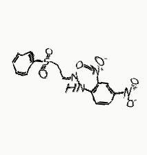 O=[N+]([O-])c1ccc(NN=CCS(=O)(=O)c2ccccc2)c([N+](=O)[O-])c1